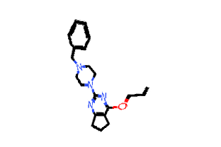 CCCOc1nc(N2CCN(Cc3ccccc3)CC2)nc2c1CCC2